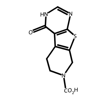 O=C(O)N1CCc2c(sc3nc[nH]c(=O)c23)C1